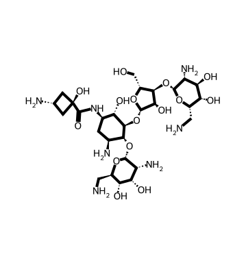 NC[C@@H]1O[C@H](O[C@H]2[C@@H](O)[C@H](O[C@@H]3[C@@H](O)[C@H](NC(=O)[C@]4(O)C[C@H](N)C4)C[C@H](N)[C@H]3O[C@H]3O[C@H](CN)[C@@H](O)[C@@H](O)[C@H]3N)O[C@@H]2CO)[C@H](N)[C@@H](O)[C@@H]1O